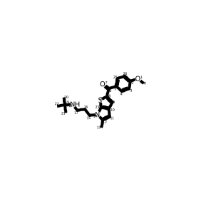 COc1ccc(C(=O)c2cc3cc(C)n(CCCNC(C)(C)C)c3s2)cc1